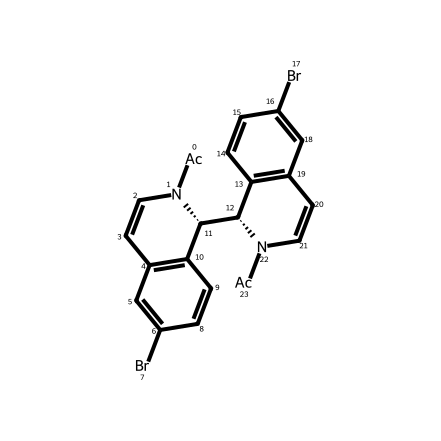 CC(=O)N1C=Cc2cc(Br)ccc2[C@H]1[C@@H]1c2ccc(Br)cc2C=CN1C(C)=O